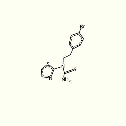 NC(=S)N(CCc1ccc(Br)cc1)c1nccs1